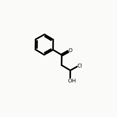 O=C(CC(O)Cl)c1ccccc1